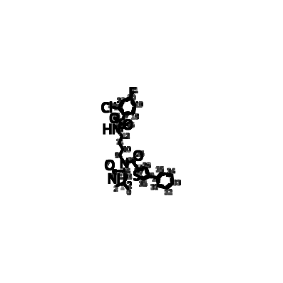 CC(C)C[C@@H](C(N)=O)N(CCCCNS(=O)(=O)c1ccc(F)cc1Cl)C(=O)c1cc(-c2ccccc2)cs1